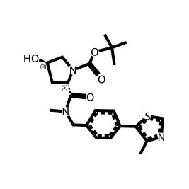 Cc1ncsc1-c1ccc(CN(C)C(=O)[C@@H]2C[C@@H](O)CN2C(=O)OC(C)(C)C)cc1